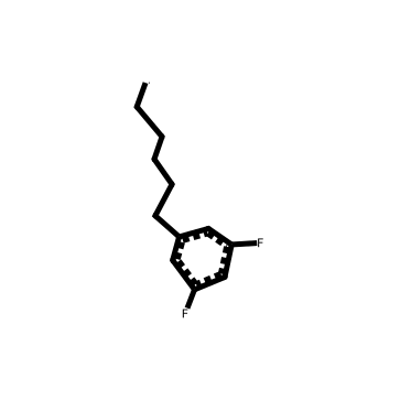 [CH2]CCCCCc1cc(F)cc(F)c1